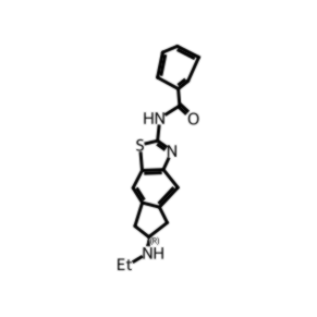 CCN[C@@H]1Cc2cc3nc(NC(=O)c4ccccc4)sc3cc2C1